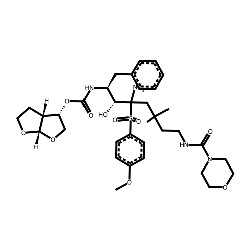 COc1ccc(S(=O)(=O)C(N)(CC(C)(C)CCNC(=O)N2CCOCC2)[C@H](O)[C@H](Cc2ccccc2)NC(=O)O[C@@H]2CO[C@@H]3OCC[C@@H]32)cc1